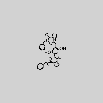 O=C(OCc1ccccc1)C1CCCN1C(=O)Cc1cc(O)c(CC(=O)N2CCCC2C(=O)OCc2ccccc2)cc1O